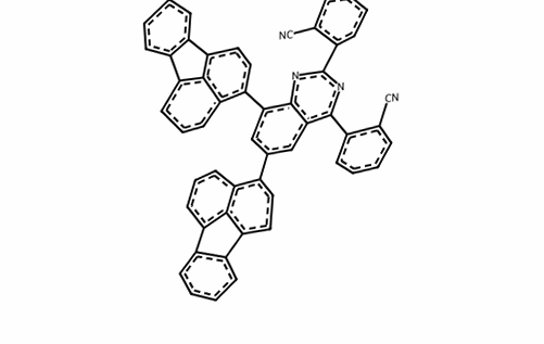 N#Cc1ccccc1-c1nc(-c2ccccc2C#N)c2cc(-c3ccc4c5c(cccc35)-c3ccccc3-4)cc(-c3ccc4c5c(cccc35)-c3ccccc3-4)c2n1